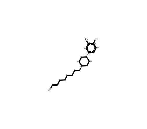 F/C=C/CCCCCC[C@H]1CC[C@H](c2ccc(F)c(F)c2)CC1